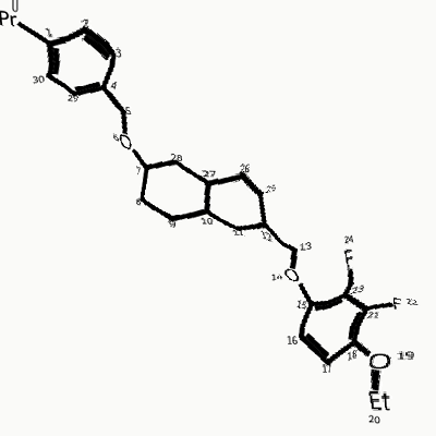 CCCc1ccc(COC2CCC3CC(COc4ccc(OCC)c(F)c4F)CCC3C2)cc1